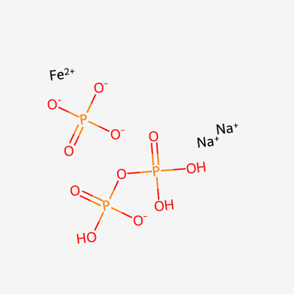 O=P([O-])(O)OP(=O)(O)O.O=P([O-])([O-])[O-].[Fe+2].[Na+].[Na+]